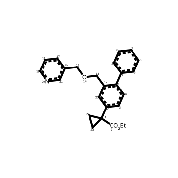 CCOC(=O)C1(c2ccc(-c3ccccc3)c(COCc3cccnc3)c2)CC1